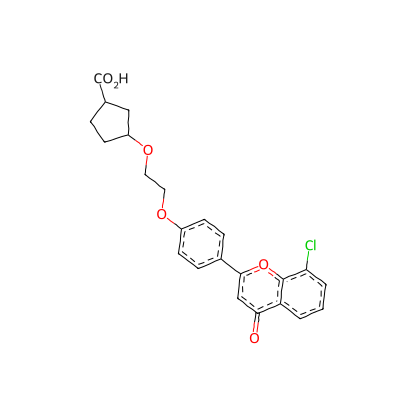 O=C(O)C1CCC(OCCOc2ccc(-c3cc(=O)c4cccc(Cl)c4o3)cc2)C1